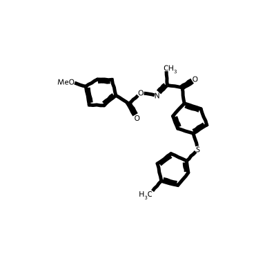 COc1ccc(C(=O)O/N=C(\C)C(=O)c2ccc(Sc3ccc(C)cc3)cc2)cc1